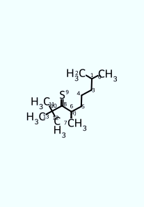 CC(C)CCC[C@@H](C)C(=S)C(C)(C)C